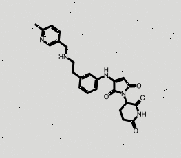 Cc1ccc(CNCCc2cccc(NC3=CC(=O)N(C4CCC(=O)NC4=O)C3=O)c2)cn1